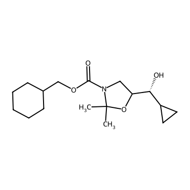 CC1(C)OC([C@H](O)C2CC2)CN1C(=O)OCC1CCCCC1